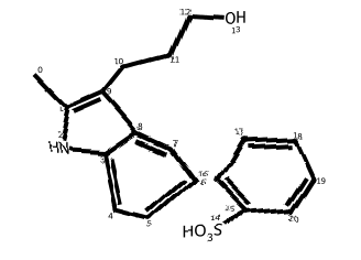 Cc1[nH]c2ccccc2c1CCCO.O=S(=O)(O)c1ccccc1